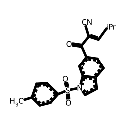 Cc1ccc(S(=O)(=O)n2ccc3ccc(C(=O)C(C#N)=CC(C)C)cc32)cc1